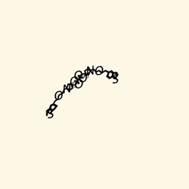 O=C(O[C@@H]1CCN(CCOCCc2ccc3sccc3c2)C1)C(=O)O[C@@H]1CCN(CCOCCc2ccc3sccc3c2)C1